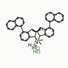 CCC1=Cc2c(-c3cccc4ccccc34)cccc2[CH]1[Zr]([CH3])([CH3])(=[SiH2])[CH]1C(C)=Cc2c(-c3cccc4ccccc34)cccc21.Cl.Cl